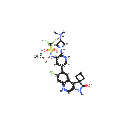 CN1C(=O)C2(CCC2)c2c1cnc1cc(F)c(-c3cnc(N4CC(N(C)C)C4)c(N(OC=O)S(=O)(=O)C(F)F)c3)cc21